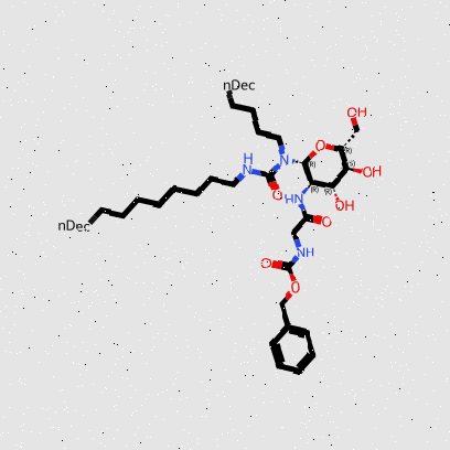 CCCCCCCCCCCCCCCCCCNC(=O)N(CCCCCCCCCCCCCC)[C@@H]1O[C@H](CO)[C@@H](O)[C@H](O)[C@H]1NC(=O)CNC(=O)OCc1ccccc1